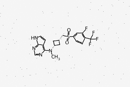 CN(c1ncnc2[nH]ccc12)[C@H]1C[C@@H](CS(=O)(=O)c2ccc(C(F)(F)F)c(F)c2)C1